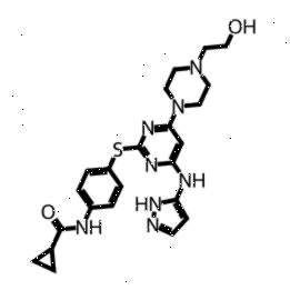 O=C(Nc1ccc(Sc2nc(Nc3ccn[nH]3)cc(N3CCN(CCO)CC3)n2)cc1)C1CC1